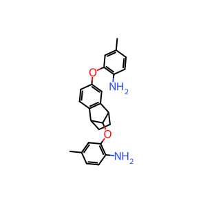 Cc1ccc(N)c(Oc2ccc3c(c2)C2CCC3C2Oc2cc(C)ccc2N)c1